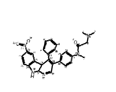 CN(C)CC(=O)N(C)c1ccc(C2=C(c3ccccc3)C3c4cc([N+](=O)[O-])ccc4NC3N=C2)cc1